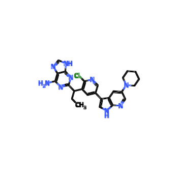 CCC(c1nc(N)c2nc[nH]c2n1)c1cc(-c2c[nH]c3ncc(N4CCCCC4)cc23)cnc1Cl